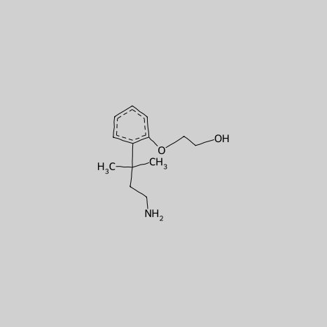 CC(C)(CCN)c1ccccc1OCCO